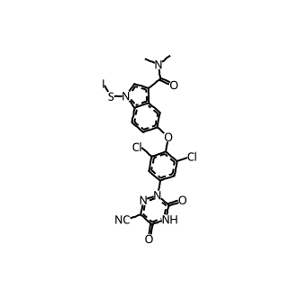 CN(C)C(=O)c1cn(SI)c2ccc(Oc3c(Cl)cc(-n4nc(C#N)c(=O)[nH]c4=O)cc3Cl)cc12